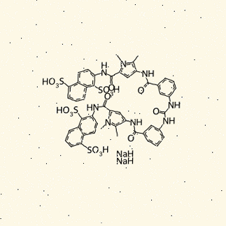 Cc1c(NC(=O)c2cccc(NC(=O)Nc3cccc(C(=O)Nc4cc(C(=O)Nc5ccc6c(S(=O)(=O)O)cccc6c5S(=O)(=O)O)n(C)c4C)c3)c2)cc(C(=O)Nc2ccc3c(S(=O)(=O)O)cccc3c2S(=O)(=O)O)n1C.[NaH].[NaH]